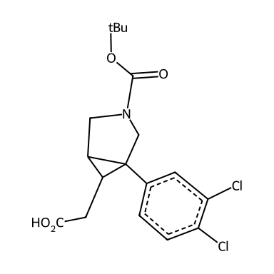 CC(C)(C)OC(=O)N1CC2C(CC(=O)O)C2(c2ccc(Cl)c(Cl)c2)C1